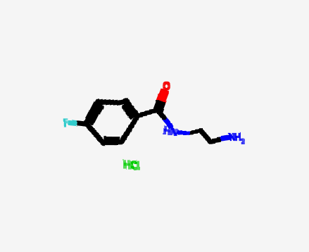 Cl.NCCNC(=O)c1ccc(F)cc1